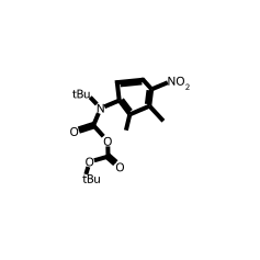 Cc1c(N(C(=O)OC(=O)OC(C)(C)C)C(C)(C)C)ccc([N+](=O)[O-])c1C